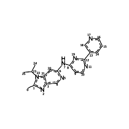 Cc1nc2cnc(Nc3ccnc(-c4cccnc4)n3)cc2n1C(C)C